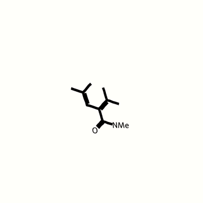 CNC(=O)C(C=C(C)C)=C(C)C